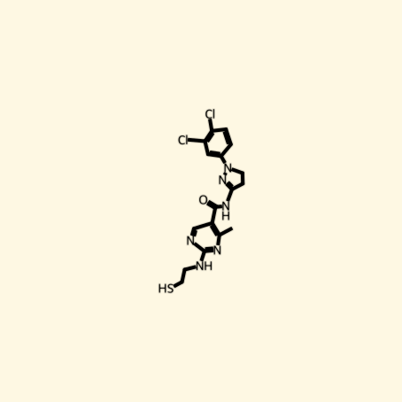 Cc1nc(NCCS)ncc1C(=O)NC1=NN(c2ccc(Cl)c(Cl)c2)CC1